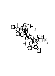 CCn1c(COC(=O)OCc2nc(C(C)C)c(Sc3cc(Cl)cc(Cl)c3)n2CC)nc(C(C)C)c1Sc1cc(Cl)cc(Cl)c1